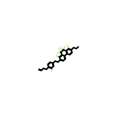 C=CCCc1ccc(CCc2ccc3c(c2F)C(F)(F)C(F)(F)c2c-3ccc(CCC)c2F)cc1F